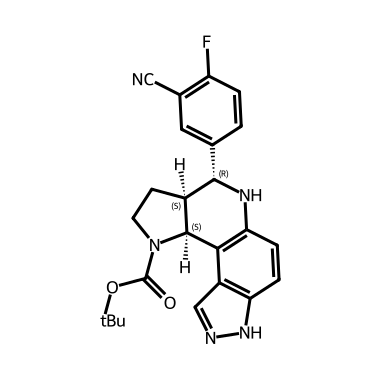 CC(C)(C)OC(=O)N1CC[C@@H]2[C@H]1c1c(ccc3[nH]ncc13)N[C@H]2c1ccc(F)c(C#N)c1